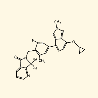 [2H]C1([2H])c2ncccc2C(=O)N1Cc1c(C)cc(-c2ccc(OC3CC3)c3nn(C)cc23)cc1F